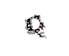 C=C1C[C@@H]2CC[C@@]34C[C@H]5OC6C(O3)[C@H]3O[C@H](CC[C@@H]3O[C@H]6C5O4)CC(=O)C[C@@H]3[C@@H](OC)[C@@H](CC(O)CN)O[C@H]3C[C@H]3O[C@@H](CC[C@@H]1O2)C[C@@H](C)C3=C